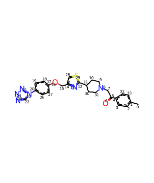 Cc1ccc(C(=O)CN2CCC(c3nc(COc4ccc(-n5cnnn5)cc4)cs3)CC2)cc1